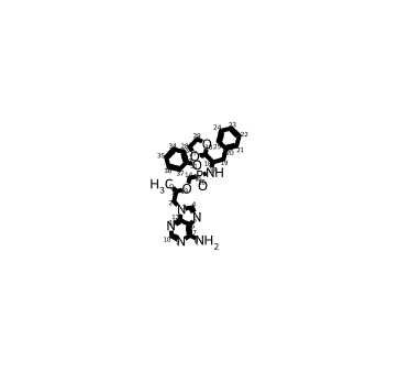 CC(Cn1cnc2c(N)ncnc21)OCP(=O)(NC(Cc1ccccc1)C1OCCO1)Oc1ccccc1